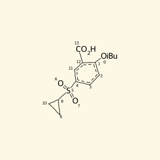 CC(C)COc1ccc(S(=O)(=O)C2CC2)cc1C(=O)O